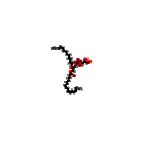 CCCCC/C=C\C/C=C\C/C=C\CCCCCCC(=O)OC[C@H](COP(=O)(O)OC[C@@H](O)CO)OC(=O)CCCCCCC/C=C\CCCCC